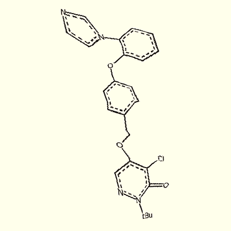 CC(C)(C)n1ncc(OCc2ccc(Oc3ccccc3-n3ccnc3)cc2)c(Cl)c1=O